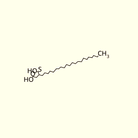 CCCCCCCCCCCCCCCCCCCCCCC(CC(=O)O)C(O)=S